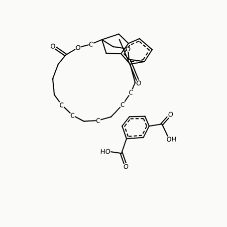 O=C(O)c1cccc(C(=O)O)c1.O=C1CCCCCCCCCCCc2c3ccc4c2CC(CO1)(COC3=O)C4